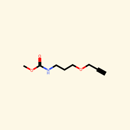 C#CCOCCCNC(=O)OC